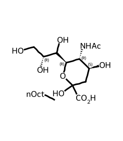 CC(=O)N[C@@H]1[C@@H](O)CC(O)(C(=O)O)O[C@H]1C(O)[C@H](O)CO.CCCCCCCCC